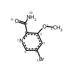 COc1cc(Br)cnc1C(N)=O